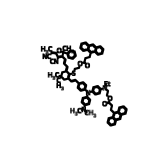 [C-]#[N+]C1=C(/C=C/C=C2\CC(C)(C)CC(/C=C/c3ccc(N(c4ccc(N(C)C)cc4)c4ccc(N(CC)CCOC(=O)CCc5c6ccccc6cc6ccccc56)cc4)cc3)=C2SCCOC(=O)CCc2c3ccccc3cc3ccccc23)C(C)(c2ccccc2)O/C1=C(\C)C#N